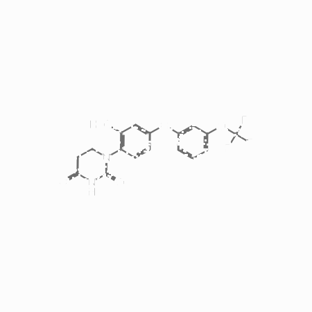 Cc1cc(Oc2cccc(OC(F)(F)F)c2)ccc1N1CCC(=O)NC1=O